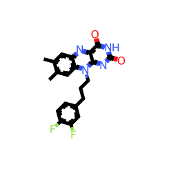 Cc1cc2nc3c(=O)[nH]c(=O)nc-3n(CCCc3ccc(F)c(F)c3)c2cc1C